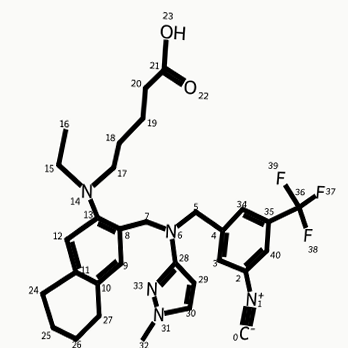 [C-]#[N+]c1cc(CN(Cc2cc3c(cc2N(CC)CCCCC(=O)O)CCCC3)c2ccn(C)n2)cc(C(F)(F)F)c1